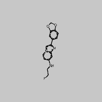 FCCNc1ccn2cc(-c3ccc4c(c3)OCO4)nc2c1